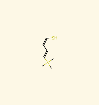 CS(C)(C)/C=C/C=C\S